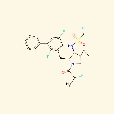 CC(F)C(=O)N1CC2(CC2)[C@H](NS(=O)(=O)CF)[C@@H]1Cc1cc(F)cc(-c2ccccc2)c1F